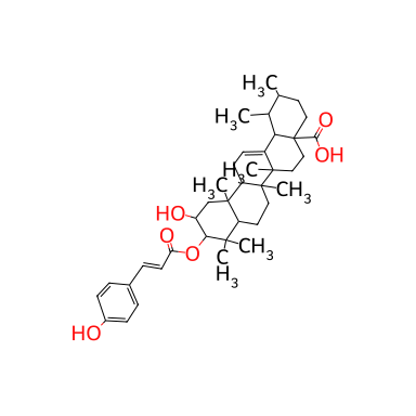 CC1CCC2(C(=O)O)CCC3(C)C(=CCC4C5(C)CC(O)C(OC(=O)/C=C/c6ccc(O)cc6)C(C)(C)C5CCC43C)C2C1C